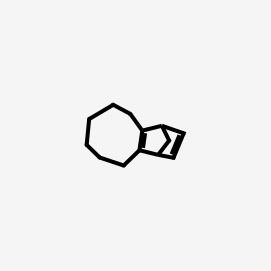 C1=CC2CC1C1=C2CCCCCC1